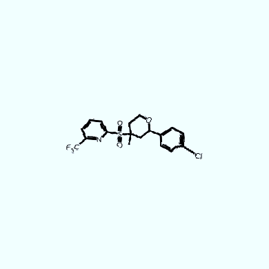 CC1(S(=O)(=O)c2cccc(C(F)(F)F)n2)CCOC(c2ccc(Cl)cc2)C1